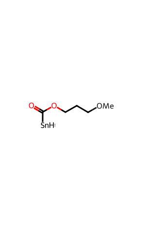 COCCCO[C](=O)[SnH]